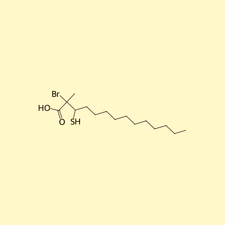 CCCCCCCCCCCC(S)C(C)(Br)C(=O)O